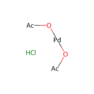 CC(=O)[O][Pd][O]C(C)=O.Cl